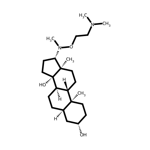 CN(C)CCON(C)[C@H]1CC[C@]2(O)[C@@H]3CC[C@@H]4C[C@@H](O)CC[C@]4(C)[C@H]3CC[C@]12C